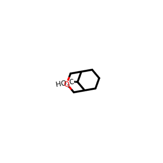 O=C(O)C1C2CCCC1COC2